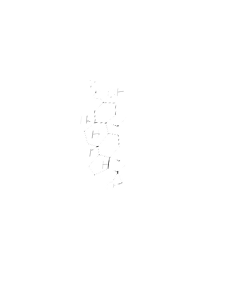 CCC[C@@]1(O)CC[C@@]2(CC)[C@H](CC[C@H]3[C@@H]4CC[C@H](C5(C)CO5)[C@@]4(C)CC[C@@H]32)C1